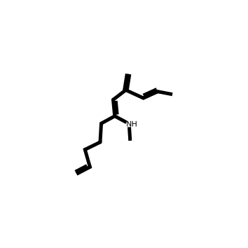 C=CCCC/C(=C/C(=C)/C=C/C)NC